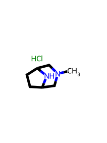 CN1CC2CCC(C1)N2.Cl